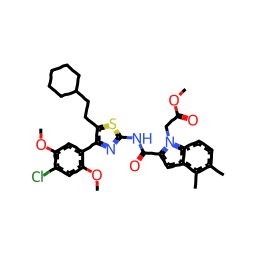 COC(=O)Cn1c(C(=O)Nc2nc(-c3cc(OC)c(Cl)cc3OC)c(CCC3CCCCC3)s2)cc2c(C)c(C)ccc21